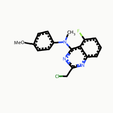 COc1ccc(N(C)c2nc(CCl)nc3cccc(F)c23)cc1